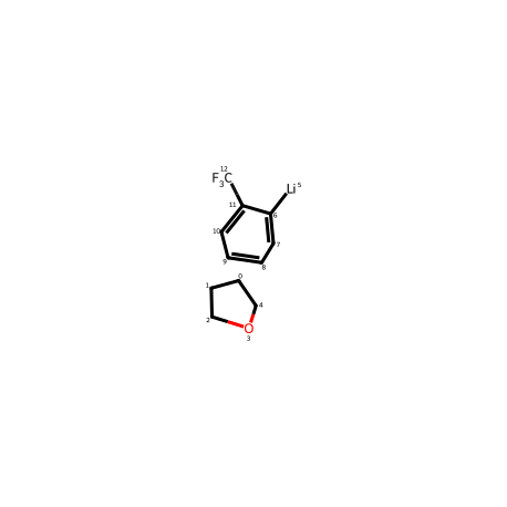 C1CCOC1.[Li][c]1ccccc1C(F)(F)F